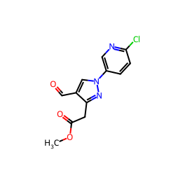 COC(=O)Cc1nn(-c2ccc(Cl)nc2)cc1C=O